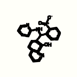 O=[N+]([O-])c1ccccc1C(Nc1ccccn1)c1ccc2cccnc2c1O